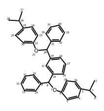 CC(C)c1ccc(OC(c2ccccc2)c2cccc(C(Oc3ccc(C(C)C)cc3)c3ccccc3)c2)cc1